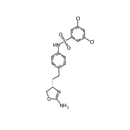 NC1=N[C@@H](CCc2ccc(NS(=O)(=O)c3cc(Cl)cc(Cl)c3)cc2)CO1